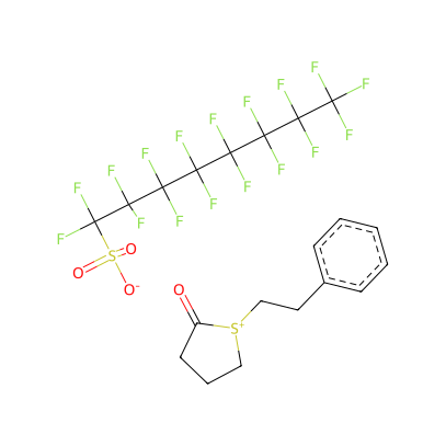 O=C1CCC[S+]1CCc1ccccc1.O=S(=O)([O-])C(F)(F)C(F)(F)C(F)(F)C(F)(F)C(F)(F)C(F)(F)C(F)(F)C(F)(F)F